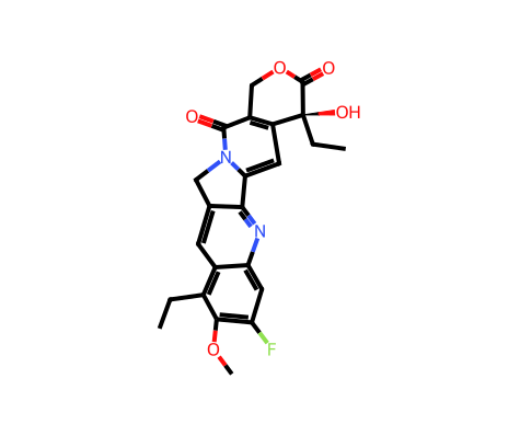 CCc1c(OC)c(F)cc2nc3c(cc12)Cn1c-3cc2c(c1=O)COC(=O)[C@]2(O)CC